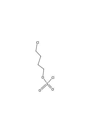 O=S(=O)(Cl)OCCCCCl